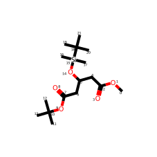 COC(=O)CC(CC(=O)OC(C)(C)C)O[Si](C)(C)C(C)(C)C